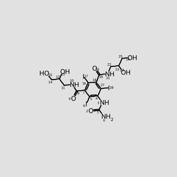 NC(=O)Nc1c(I)c(C(=O)NCC(O)CO)c(I)c(C(=O)NCC(O)CO)c1I